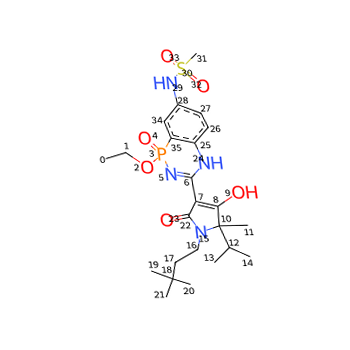 CCOP1(=O)N=C(C2=C(O)C(C)(C(C)C)N(CCC(C)(C)C)C2=O)Nc2ccc(NS(C)(=O)=O)cc21